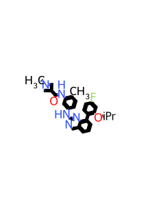 Cc1ccc(Nc2ncc3cccc(-c4ccc(F)cc4OC(C)C)c3n2)cc1NC(=O)C1CN(C)C1